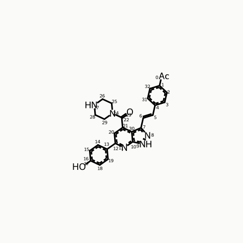 CC(=O)c1ccc(C=Cc2n[nH]c3nc(-c4ccc(O)cc4)cc(C(=O)N4CCNCC4)c23)cc1